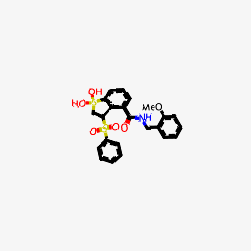 COc1ccccc1CNC(=O)c1cccc2c1C(S(=O)(=O)c1ccccc1)CS2(O)O